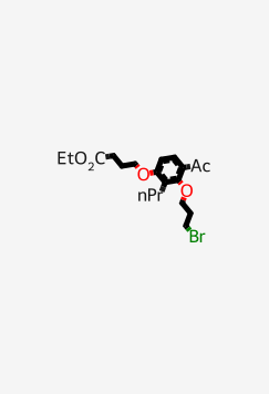 CCCc1c(OCCCC(=O)OCC)ccc(C(C)=O)c1OCCCBr